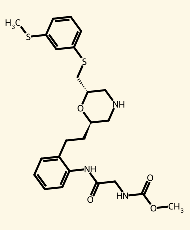 COC(=O)NCC(=O)Nc1ccccc1CC[C@@H]1CNC[C@@H](CSc2cccc(SC)c2)O1